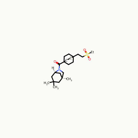 CCS(=O)(=O)CCC12CCC(C(=O)N3C[C@]4(C)C[C@H]3CC(C)(C)C4)(CC1)CC2